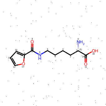 N[C@@H](CCCCNC(=O)c1ccco1)C(=O)O